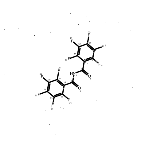 O=C(NC(=O)c1c(F)c(F)c(F)c(F)c1F)c1c(F)c(F)c(F)c(F)c1F